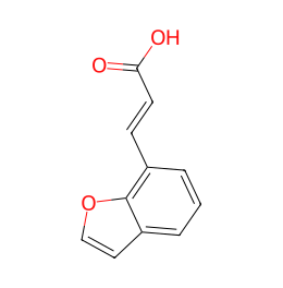 O=C(O)C=Cc1cccc2ccoc12